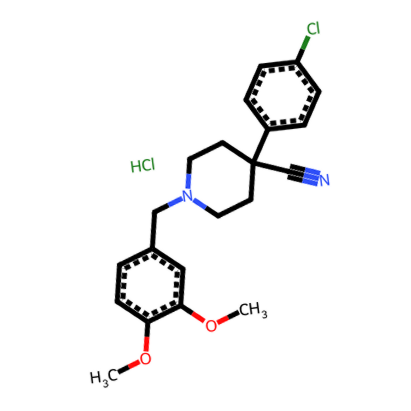 COc1ccc(CN2CCC(C#N)(c3ccc(Cl)cc3)CC2)cc1OC.Cl